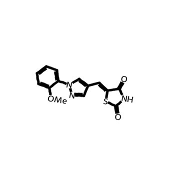 COc1ccccc1-n1cc(/C=C2\SC(=O)NC2=O)cn1